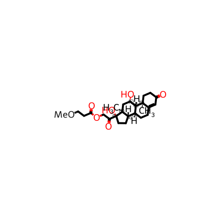 COCCC(=O)OCC(=O)[C@@]1(O)CC[C@H]2[C@@H]3CCC4=CC(=O)CC[C@]4(C)[C@H]3[C@@H](O)C[C@@]21C